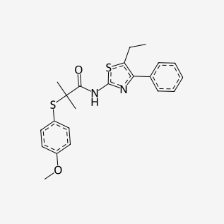 CCc1sc(NC(=O)C(C)(C)Sc2ccc(OC)cc2)nc1-c1ccccc1